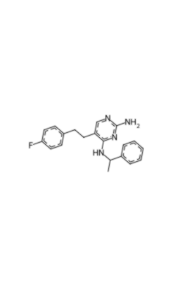 CC(Nc1nc(N)ncc1CCc1ccc(F)cc1)c1ccccc1